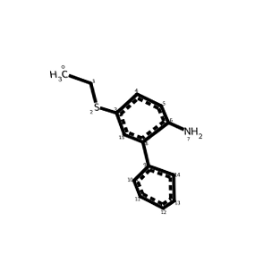 CCSc1ccc(N)c(-c2ccccc2)c1